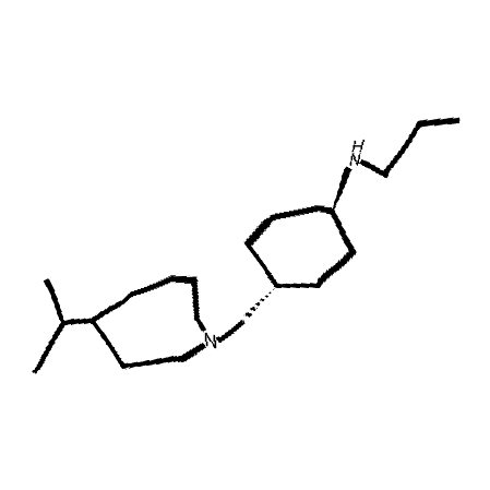 CCCN[C@H]1CC[C@H](CN2CCC(C(C)C)CC2)CC1